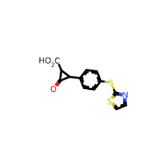 O=C(O)C1C(=O)C1c1ccc(Sc2nccs2)cc1